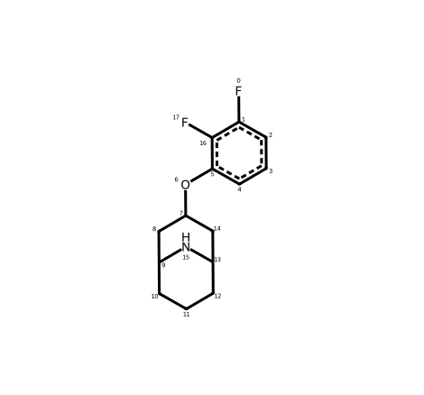 Fc1cccc(OC2CC3CCCC(C2)N3)c1F